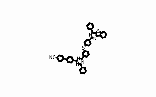 N#Cc1ccc(-c2ccc(-c3nc(-c4ccccc4)nc(-c4cccc(Sc5ccc(-c6nc(-c7ccccc7)c7sc8ccccc8c7n6)cc5)c4)n3)cc2)cc1